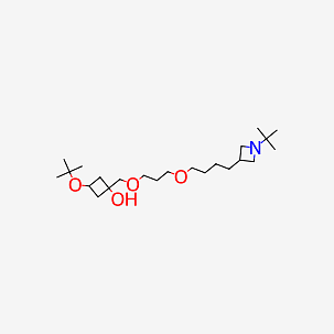 CC(C)(C)OC1CC(O)(COCCCOCCCCC2CN(C(C)(C)C)C2)C1